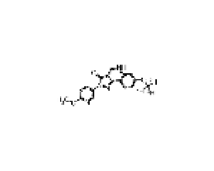 [2H]C([2H])([2H])Oc1ccc2c3nn(-c4ccc(OC)nc4)c(=O)c-3c[nH]c2c1